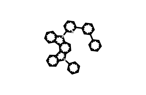 c1ccc(-c2cccc(-c3cccc(-n4c5ccccc5c5c6c7ccccc7n(-c7ccccc7)c6ccc54)n3)c2)cc1